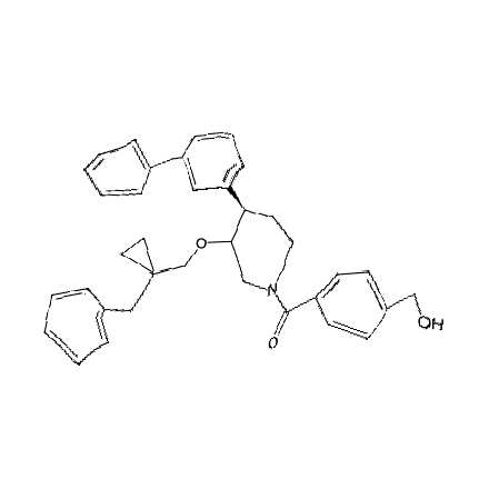 O=C(c1ccc(CO)cc1)N1CC[C@H](c2cccc(-c3ccccc3)c2)C(OCC2(Cc3ccccc3)CC2)C1